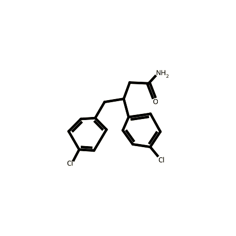 NC(=O)CC(Cc1ccc(Cl)cc1)c1ccc(Cl)cc1